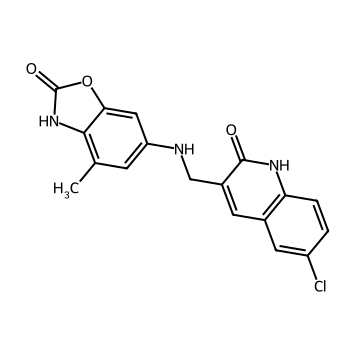 Cc1cc(NCc2cc3cc(Cl)ccc3[nH]c2=O)cc2oc(=O)[nH]c12